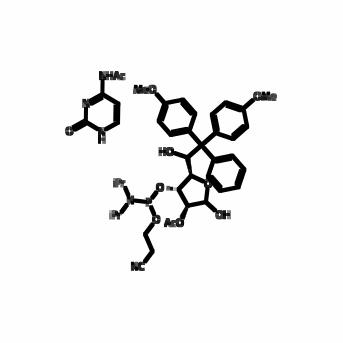 CC(=O)Nc1cc[nH]c(=O)n1.COc1ccc(C(c2ccccc2)(c2ccc(OC)cc2)C(O)[C@H]2OC(O)[C@@H](OC(C)=O)[C@@H]2OP(OCCC#N)N(C(C)C)C(C)C)cc1